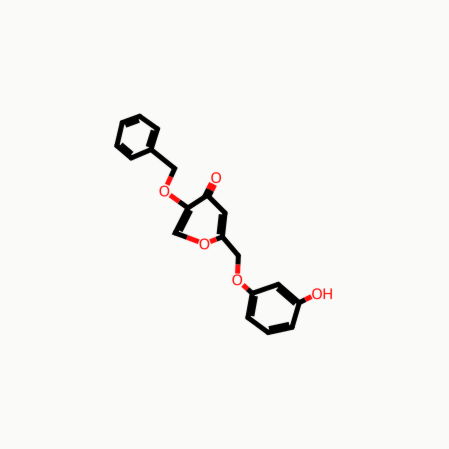 O=c1cc(COc2cccc(O)c2)occ1OCc1ccccc1